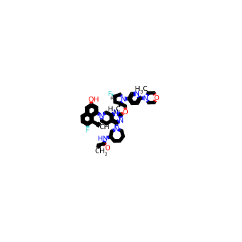 C#Cc1c(F)ccc2cc(O)cc(N3CCc4c(nc(OC[C@]5(C)C[C@@H](F)CN5c5ccc(N6CCOC[C@H]6C)nc5)nc4N4CCCCC(NC(=O)C=C)C4)C3)c12